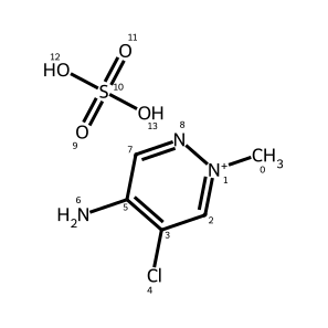 C[n+]1cc(Cl)c(N)cn1.O=S(=O)(O)O